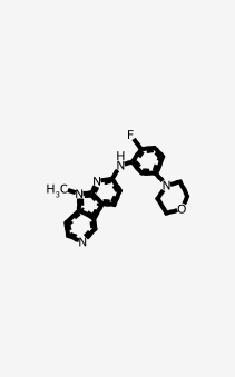 Cn1c2ccncc2c2ccc(Nc3cc(N4CCOCC4)ccc3F)nc21